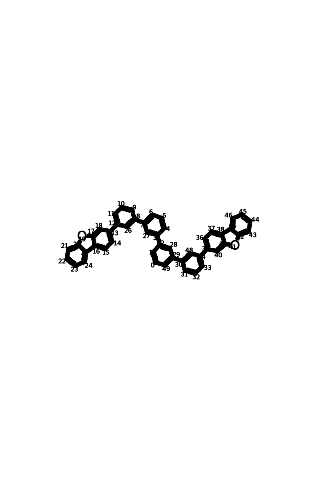 c1cc(-c2cccc(-c3cccc(-c4ccc5c(c4)oc4ccccc45)c3)c2)cc(-c2cccc(-c3ccc4c(c3)oc3ccccc34)c2)c1